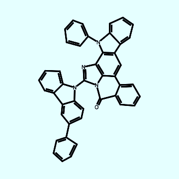 O=c1c2ccccc2c2cc3c4ccccc4n(-c4ccccc4)c3c3nc(-n4c5ccccc5c5cc(-c6ccccc6)ccc54)n1c23